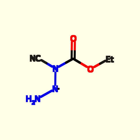 CCOC(=O)N(C#N)[N]N